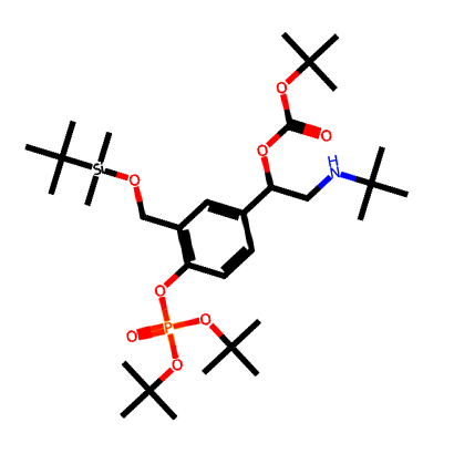 CC(C)(C)NCC(OC(=O)OC(C)(C)C)c1ccc(OP(=O)(OC(C)(C)C)OC(C)(C)C)c(CO[Si](C)(C)C(C)(C)C)c1